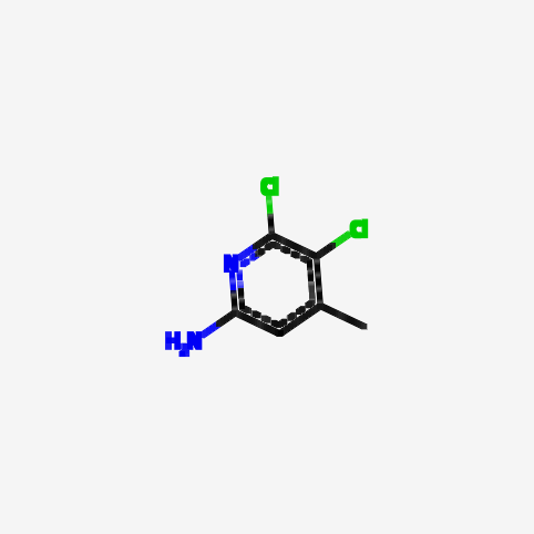 Cc1cc(N)nc(Cl)c1Cl